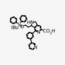 CC(C)(C)[Si](OCCC1NCc2cc(C(=O)O)nc(-c3cccc(-c4cccnc4)c3)c21)(c1ccccc1)c1ccccc1